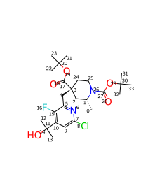 C[C@@H]1C[C@](Cc2nc(Cl)cc(C(C)(C)O)c2F)(C(=O)OC(C)(C)C)CCN1C(=O)OC(C)(C)C